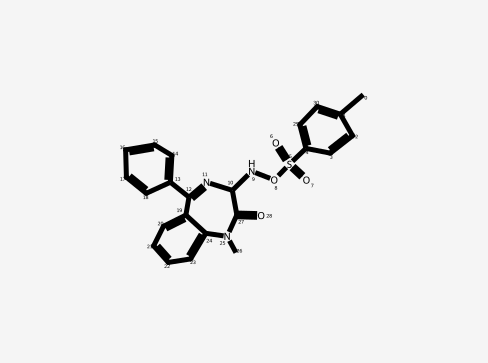 Cc1ccc(S(=O)(=O)ONC2N=C(c3ccccc3)c3ccccc3N(C)C2=O)cc1